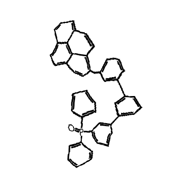 O=P(c1ccccc1)(c1ccccc1)c1cccc(-c2cccc(-c3cccc(-c4ccc5ccc6cccc7ccc4c5c67)c3)c2)c1